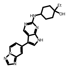 CCC1(O)CCC(Nc2ncc3c(-c4ccn5ncnc5c4)c[nH]c3n2)CC1